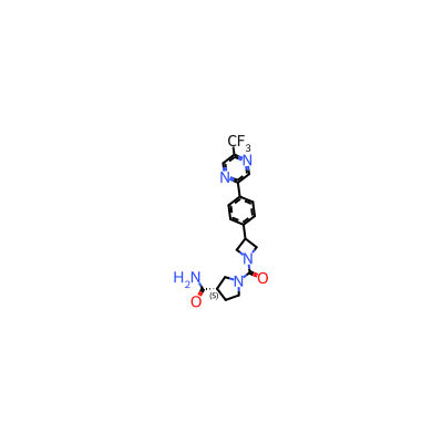 NC(=O)[C@H]1CCN(C(=O)N2CC(c3ccc(-c4cnc(C(F)(F)F)cn4)cc3)C2)C1